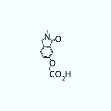 CN1Cc2ccc(OCC(=O)O)cc2C1=O